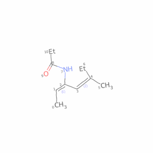 C/C=C(\C=C(\C)CC)NC(=O)CC